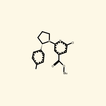 Cc1ccc([C@@H]2CCCN2c2cc(C(=O)OC(C)(C)C)cc(Cl)n2)cc1